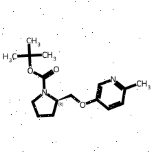 Cc1ccc(OC[C@H]2CCCN2C(=O)OC(C)(C)C)cn1